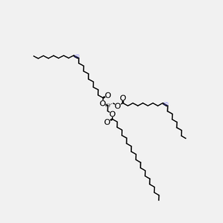 CCCCCCCC/C=C\CCCCCCCCCC(=O)O[C@H](COC(=O)CCCCCCC/C=C\CCCCCCCC)COC(=O)CCCCCCCCCCCCCCCCCCCC